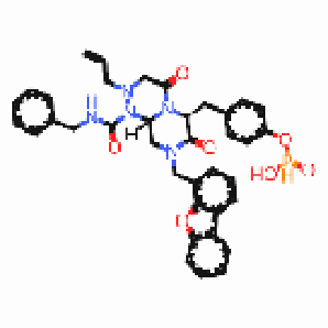 C=CCN1CC(=O)N2[C@@H](Cc3ccc(O[PH](=O)O)cc3)C(=O)N(Cc3cccc4c3oc3ccccc34)C[C@@H]2N1C(=O)NCc1ccccc1